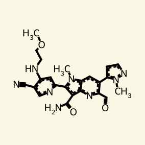 COCCNc1cc(-c2c(C(N)=O)c3nc(C=O)c(-c4ccnn4C)cc3n2C)ncc1C#N